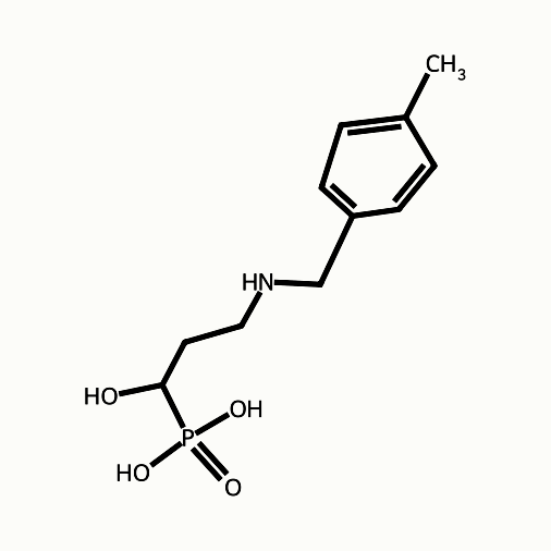 Cc1ccc(CNCCC(O)P(=O)(O)O)cc1